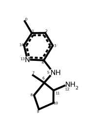 Cc1ccc(NC2(C)CCCC2N)nc1